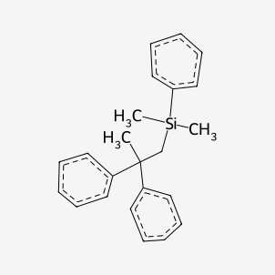 CC(C[Si](C)(C)c1ccccc1)(c1ccccc1)c1ccccc1